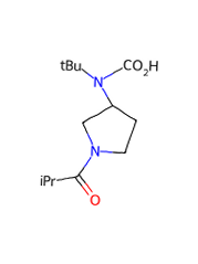 CC(C)C(=O)N1CCC(N(C(=O)O)C(C)(C)C)C1